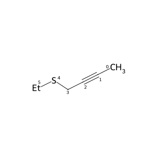 CC#CCSCC